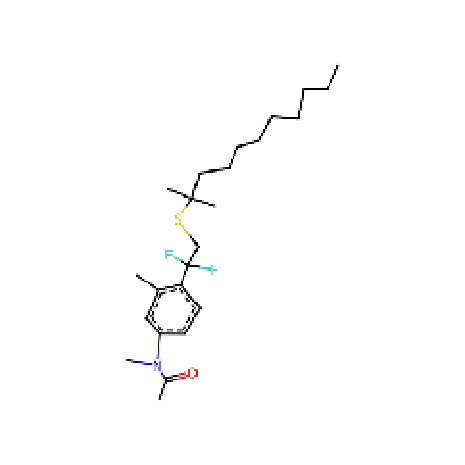 CCCCCCCCCC(C)(C)SCC(F)(F)c1ccc(N(C)C(C)=O)cc1C